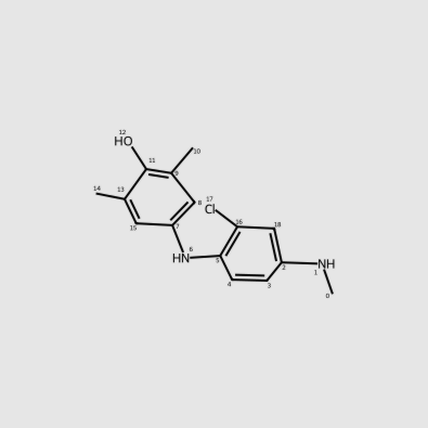 CNc1ccc(Nc2cc(C)c(O)c(C)c2)c(Cl)c1